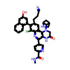 CNC(=O)c1ccc(-c2nc3c(F)c(-c4cc(O)cc5ccccc45)c(CCC#N)cc3c3c2NC(=O)CN3C2C3CNC2C3)cn1